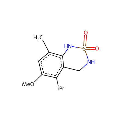 COc1cc(C)c2c(c1C(C)C)CNS(=O)(=O)N2